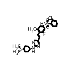 Cc1cc(NS(=O)(=O)c2ccccc2Cl)cc(F)c1/C=C/c1cnc(N[C@H]2CC[C@H](N(C)C)CC2)nc1